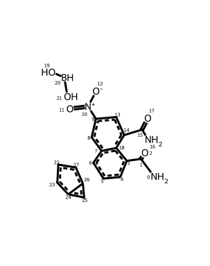 NC(=O)c1cccc2cc([N+](=O)[O-])cc(C(N)=O)c12.OBO.c1cc2cc-2c1